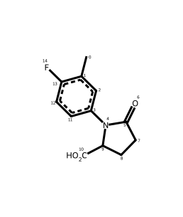 Cc1cc(N2C(=O)CCC2C(=O)O)ccc1F